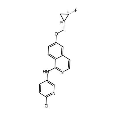 F[C@H]1C[C@H]1COc1ccc2c(Nc3ccc(Cl)nc3)nccc2c1